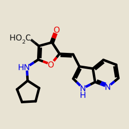 O=C(O)C1=C(NC2CCCC2)OC(=Cc2c[nH]c3ncccc23)C1=O